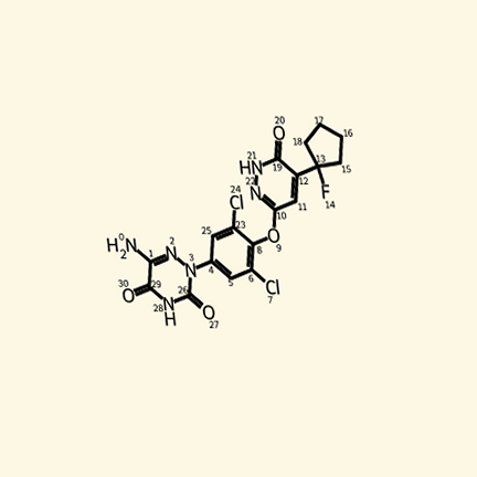 Nc1nn(-c2cc(Cl)c(Oc3cc(C4(F)CCCC4)c(=O)[nH]n3)c(Cl)c2)c(=O)[nH]c1=O